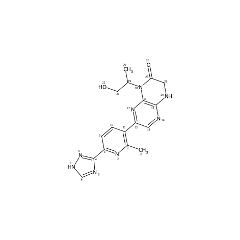 Cc1nc(-c2nc[nH]n2)ccc1-c1cnc2c(n1)N(C(C)CO)C(=O)CN2